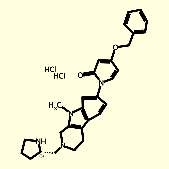 Cl.Cl.Cn1c2c(c3ccc(-n4ccc(OCc5ccccc5)cc4=O)cc31)CCN(C[C@@H]1CCCN1)C2